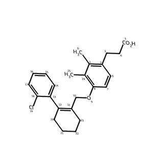 Cc1c(CCC(=O)O)ccc(OCC2=C(c3ccccc3Cl)CCCC2)c1C